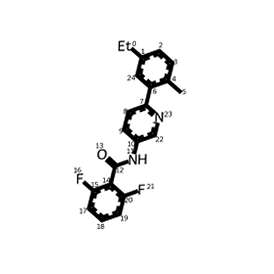 CCc1ccc(C)c(-c2ccc(NC(=O)c3c(F)cccc3F)cn2)c1